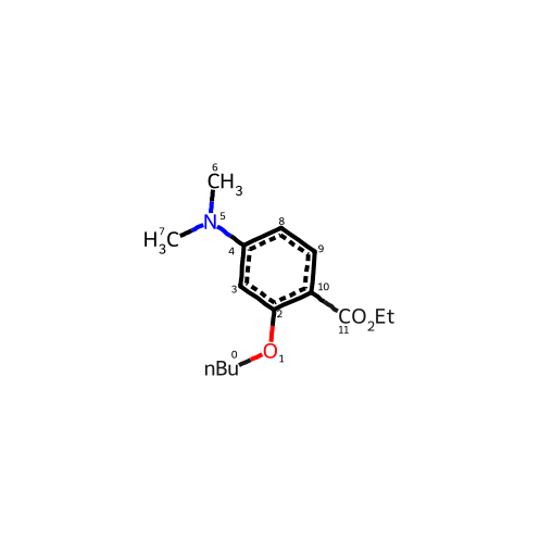 CCCCOc1cc(N(C)C)ccc1C(=O)OCC